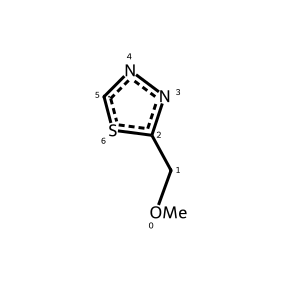 COCc1nn[c]s1